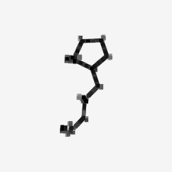 CC[N]CC1CCCN1